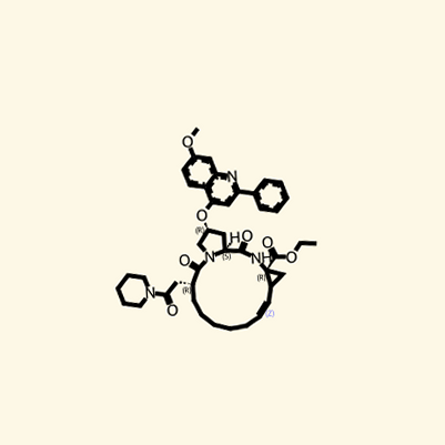 CCOC(=O)[C@@]12CC1/C=C\CCCCC[C@H](CC(=O)N1CCCCC1)C(=O)N1C[C@H](Oc3cc(-c4ccccc4)nc4cc(OC)ccc34)C[C@H]1C(=O)N2